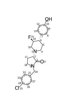 O=C1[C@@H](N2CC[C@@H](c3ccc(O)cc3)[C@H](F)C2)CCN1Cc1ccc(Cl)cc1